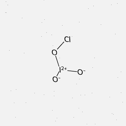 [O-][I+2]([O-])OCl